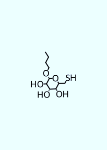 CCCCO[C@@H]1OC(CS)[C@@H](O)[C@H](O)C1O